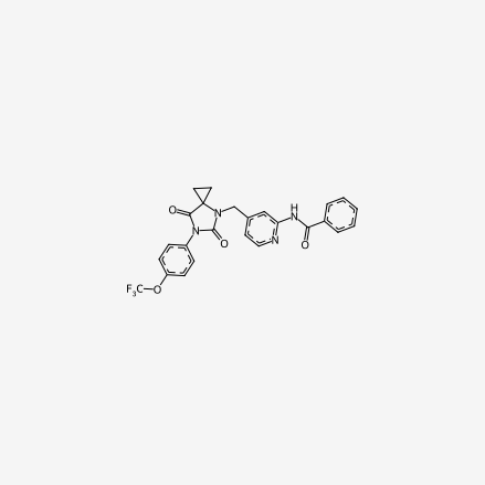 O=C(Nc1cc(CN2C(=O)N(c3ccc(OC(F)(F)F)cc3)C(=O)C23CC3)ccn1)c1ccccc1